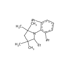 CCC1N(c2c(C(C)C)cccc2C(C)C)C(C)(C)CC1(C)C